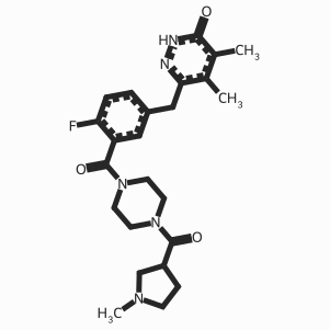 Cc1c(Cc2ccc(F)c(C(=O)N3CCN(C(=O)C4CCN(C)C4)CC3)c2)n[nH]c(=O)c1C